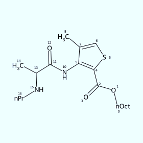 CCCCCCCCOC(=O)c1scc(C)c1NC(=O)C(C)NCCC